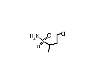 CC(CCCl)S(N)(=O)=O